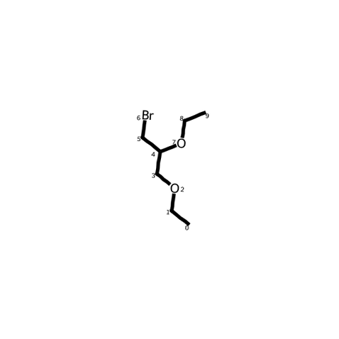 CCOCC(CBr)OCC